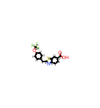 O=C(O)c1ccc2nc(Cc3ccc(OC(F)(F)F)cc3)sc2c1